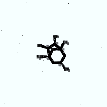 C[C@@H]1C[C@@]2(C)O[C@@](C)(C1)[C@H](O)[C@@H]2O